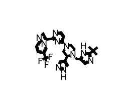 CC(C)(C)c1ncc(CN2CCN(c3ccnc(-c4cnc5ccc(C(F)(F)F)cn45)n3)CC2c2cn[nH]c2)[nH]1